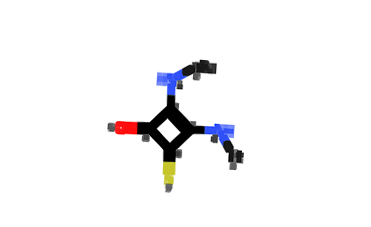 CCCCNc1c(NCC)c(=S)c1=O